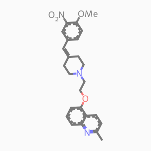 COc1ccc(C=C2CCN(CCOc3cccc4nc(C)ccc34)CC2)cc1[N+](=O)[O-]